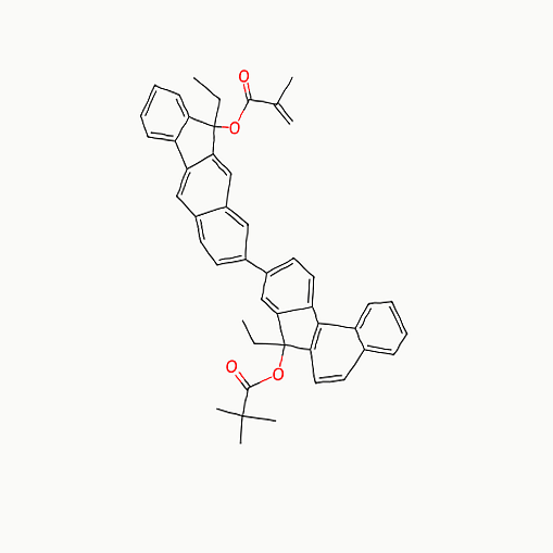 C=C(C)C(=O)OC1(CC)c2ccccc2-c2cc3ccc(-c4ccc5c(c4)C(CC)(OC(=O)C(C)(C)C)c4ccc6ccccc6c4-5)cc3cc21